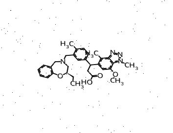 CC[C@@H]1CN(Cc2cc(C(CC(=O)O)c3cc(OC)c4c(nnn4C)c3C)ccc2C)Cc2ccccc2O1